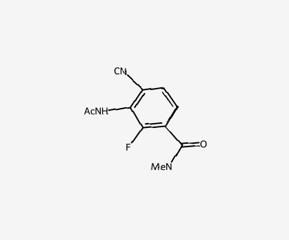 [C-]#[N+]c1ccc(C(=O)NC)c(F)c1NC(C)=O